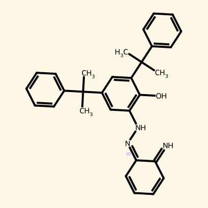 CC(C)(c1ccccc1)c1cc(N/N=C2/C=CC=CC2=N)c(O)c(C(C)(C)c2ccccc2)c1